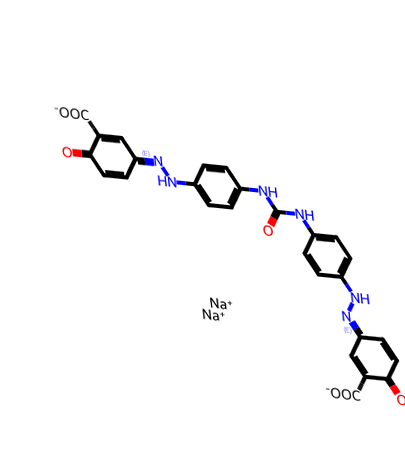 O=C(Nc1ccc(N/N=C2\C=CC(=O)C(C(=O)[O-])=C2)cc1)Nc1ccc(N/N=C2\C=CC(=O)C(C(=O)[O-])=C2)cc1.[Na+].[Na+]